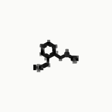 C=Cc1ccccc1COC#N